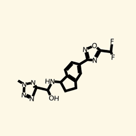 Cn1nnc(C(O)NC2CCc3cc(-c4noc(C(F)F)n4)ccc32)n1